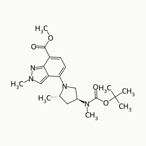 COC(=O)c1ccc(N2C[C@@H](N(C)C(=O)OC(C)(C)C)C[C@@H]2C)c2cn(C)nc12